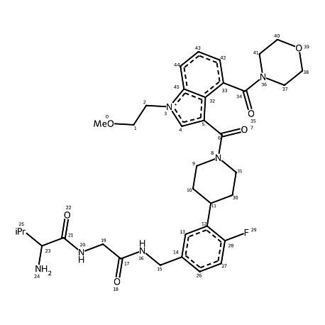 COCCn1cc(C(=O)N2CCC(c3cc(CNC(=O)CNC(=O)C(N)C(C)C)ccc3F)CC2)c2c(C(=O)N3CCOCC3)cccc21